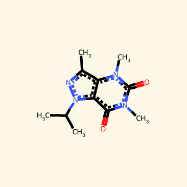 Cc1nn(C(C)C)c2c(=O)n(C)c(=O)n(C)c12